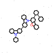 c1ccc(-c2ccccc2-c2cc(-n3c4ccccc4c4cc(-c5ccc6c(c5)c5ccccc5n6-c5ccccc5)ccc43)c3oc4ccccc4c3c2)cc1